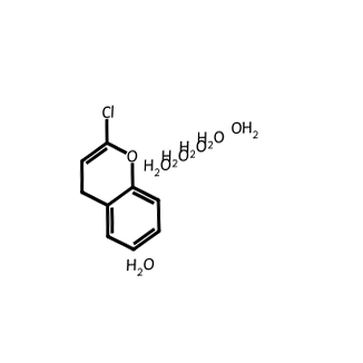 ClC1=CCc2ccccc2O1.O.O.O.O.O.O